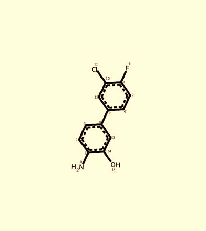 Nc1ccc(-c2ccc(F)c(Cl)c2)cc1O